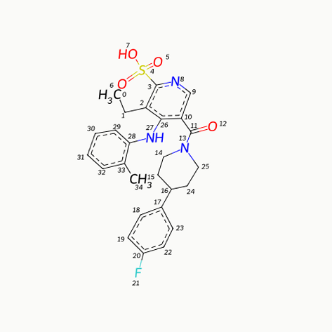 CCc1c(S(=O)(=O)O)ncc(C(=O)N2CCC(c3ccc(F)cc3)CC2)c1Nc1ccccc1C